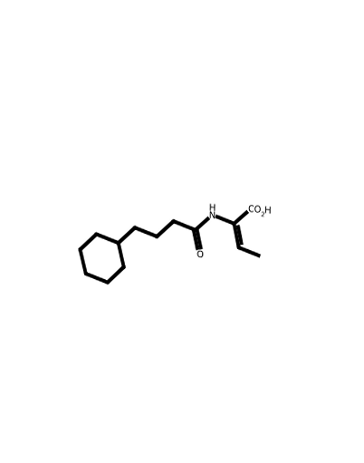 CC=C(NC(=O)CCCC1CCCCC1)C(=O)O